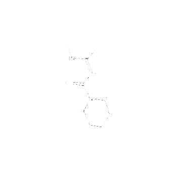 CCCCNC(C)=CC(=O)N1CCCCC1